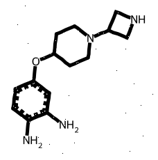 Nc1ccc(OC2CCN(C3CNC3)CC2)cc1N